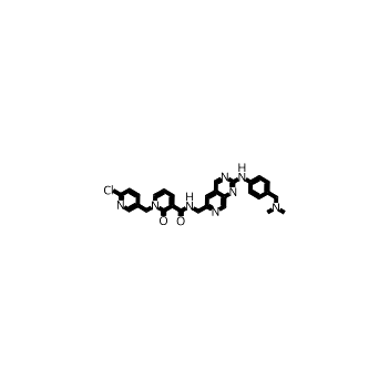 CN(C)Cc1ccc(Nc2ncc3cc(CNC(=O)c4cccn(Cc5ccc(Cl)nc5)c4=O)ncc3n2)cc1